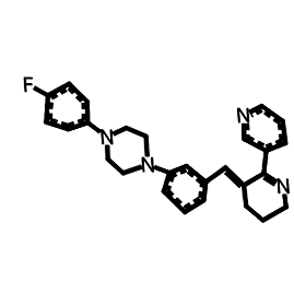 Fc1ccc(N2CCN(c3cccc(C=C4CCCN=C4c4cccnc4)c3)CC2)cc1